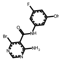 Nc1ncnc(Br)c1C(=O)Nc1cc(O)cc(F)c1